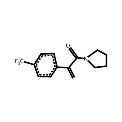 C=C(C(=O)N1CCCC1)c1ccc(C(F)(F)F)cc1